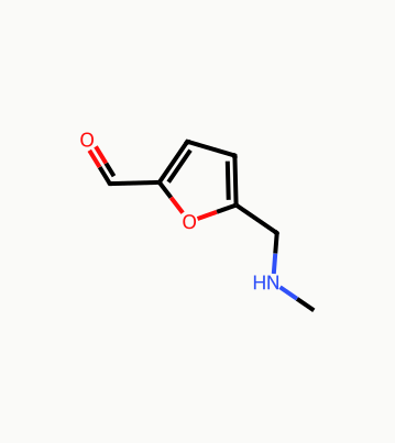 CNCc1ccc(C=O)o1